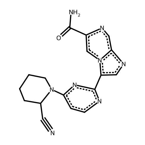 N#CC1CCCCN1c1ccnc(-c2cnc3cnc(C(N)=O)cn23)n1